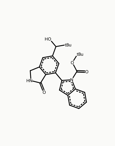 CC(C)(C)OC(=O)n1c(-c2cc(C(O)C(C)(C)C)cc3c2C(=O)NC3)cc2ccccc21